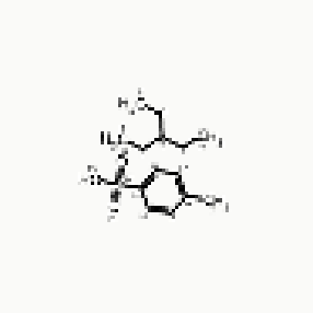 CCC(CC)CC.Cc1ccc(S(=O)(=O)O)cc1